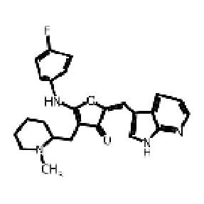 CN1CCCCC1CC1=C(Nc2ccc(F)cc2)OC(=Cc2c[nH]c3ncccc23)C1=O